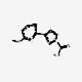 COc1cccc(-c2ccn(C(N)=O)n2)n1